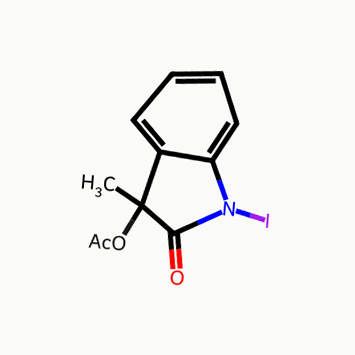 CC(=O)OC1(C)C(=O)N(I)c2ccccc21